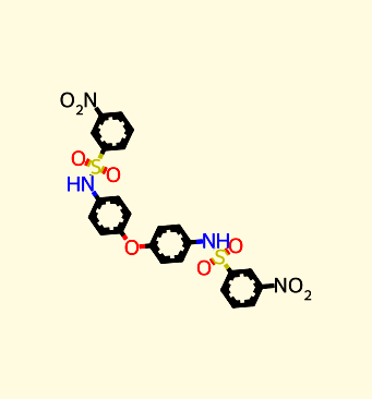 O=[N+]([O-])c1cccc(S(=O)(=O)Nc2ccc(Oc3ccc(NS(=O)(=O)c4cccc([N+](=O)[O-])c4)cc3)cc2)c1